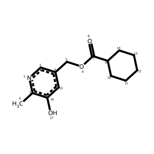 Cc1ncc(COC(=O)C2CCCCC2)cc1O